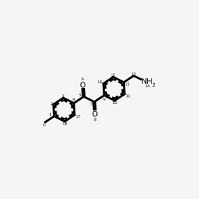 Cc1ccc(C(=O)C(=O)c2ccc(CN)cc2)cc1